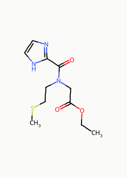 CCOC(=O)CN(CCSC)C(=O)c1ncc[nH]1